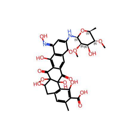 CO[C@@H]1[C@@H](O)[C@@H](OC)[C@@H](NC2=CC(=NO)c3c(cc4c(c3O)C(=O)C3(OC)C(O)Cc5cc(C)c(C(=O)O)c(O)c5C3(O)C4=O)C2=O)O[C@H]1C